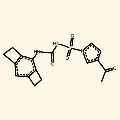 CC(=O)c1ccn(S(=O)(=O)NC(=O)Nc2c3c(cc4c2CC4)CC3)c1